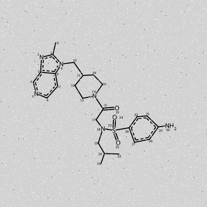 Cc1nc2cnccc2n1CC1CCN(C(=O)CN(CC(C)C)S(=O)(=O)c2ccc(N)cc2)CC1